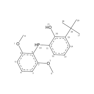 COc1cccc(OC)c1Pc1cccc(C(C)(C)C)c1O